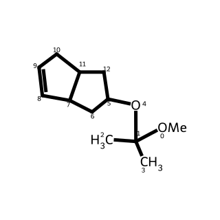 COC(C)(C)OC1CC2C=CCC2C1